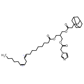 CCCCC/C=C\C/C=C\CCCCCCCC(=O)OCC(COC(=O)Cn1ccnc1)COC(=O)CC12CC3CC(CC(C3)C1)C2